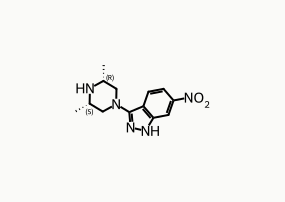 C[C@@H]1CN(c2n[nH]c3cc([N+](=O)[O-])ccc23)C[C@H](C)N1